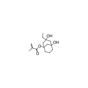 C=C(C)C(=O)OC12CCCC(O)(CC(O)(CC)C1)C2